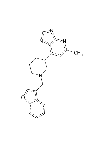 Cc1cc(C2CCCN(Cc3coc4ccccc34)C2)n2ncnc2n1